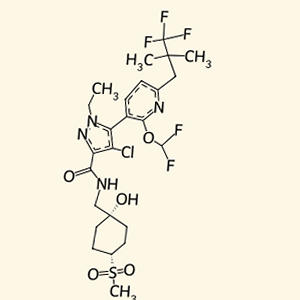 CCn1nc(C(=O)NC[C@]2(O)CC[C@@H](S(C)(=O)=O)CC2)c(Cl)c1-c1ccc(CC(C)(C)C(F)(F)F)nc1OC(F)F